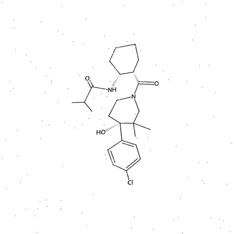 CC(C)C(=O)N[C@@H]1CCCC[C@@H]1C(=O)N1CC[C@](O)(c2ccc(Cl)cc2)C(C)(C)C1